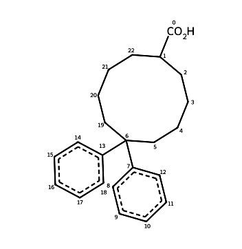 O=C(O)C1CCCCC(c2ccccc2)(c2ccccc2)CCCC1